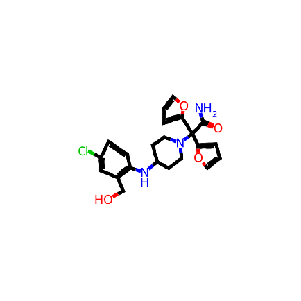 NC(=O)C(c1ccco1)(c1ccco1)N1CCC(Nc2ccc(Cl)cc2CO)CC1